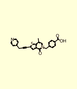 Cc1cn(Cc2ccc(C(=O)O)cc2)c(=O)c2cc(C#CCc3ccncc3)sc12